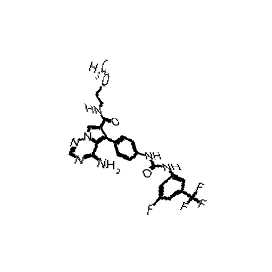 COCCNC(=O)c1cn2ncnc(N)c2c1-c1ccc(NC(=O)Nc2cc(F)cc(C(F)(F)F)c2)cc1